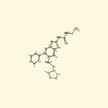 CCNC(=O)Nc1nc2cc(-c3cncnc3)c(NCC3CCCO3)nc2s1